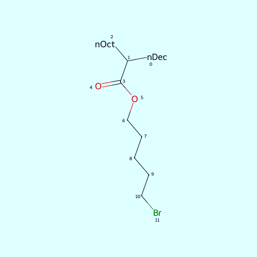 CCCCCCCCCCC(CCCCCCCC)C(=O)OCCCCCBr